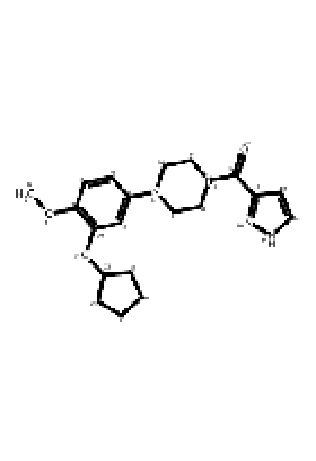 COc1ccc(N2CCN(C(=O)c3cc[nH]n3)CC2)cc1OC1CCCC1